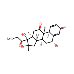 CC(=O)OCC(=O)[C@@]1(O)[C@@](C)(Br)C[C@H]2[C@@H]3C[C@@H](Br)C4=CC(=O)C=C[C@]4(C)[C@H]3C(=O)C[C@@]21C